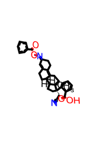 C[C@]12CCC3=C4CC/C(=N/OC(=O)c5ccccc5)C=C4CC[C@H]3[C@@H]1CC[C@]2(CC#N)c1ccccc1C(=O)O